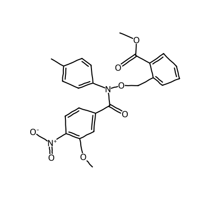 COC(=O)c1ccccc1CON(C(=O)c1ccc([N+](=O)[O-])c(OC)c1)c1ccc(C)cc1